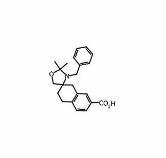 CC1(C)OCC2(CCc3ccc(C(=O)O)cc3C2)N1Cc1ccccc1